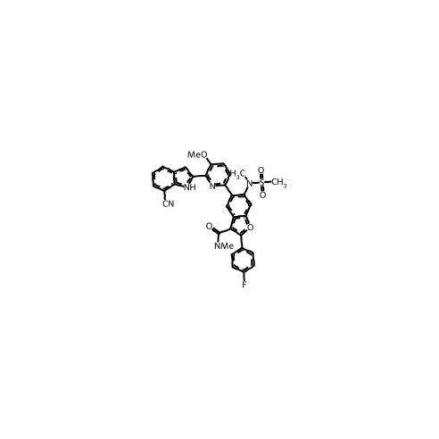 CNC(=O)c1c(-c2ccc(F)cc2)oc2cc(N(C)S(C)(=O)=O)c(-c3ccc(OC)c(-c4cc5cccc(C#N)c5[nH]4)n3)cc12